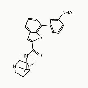 CC(=O)Nc1cccc(-c2cccc3cc(C(=O)N[C@@H]4CN5CCC4CC5)sc23)c1